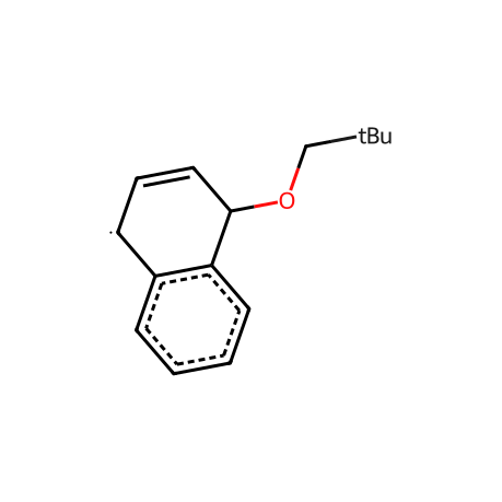 CC(C)(C)COC1C=C[CH]c2ccccc21